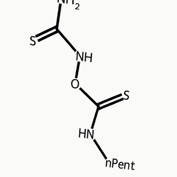 CCCCCNC(=S)ONC(N)=S